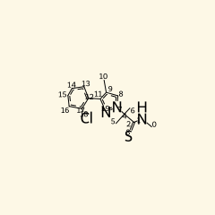 CNC(=S)C(C)(C)n1cc(C)c(-c2ccccc2Cl)n1